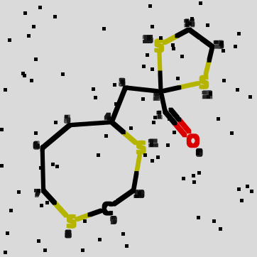 O=CC1(CC2CCCSCCS2)SCCS1